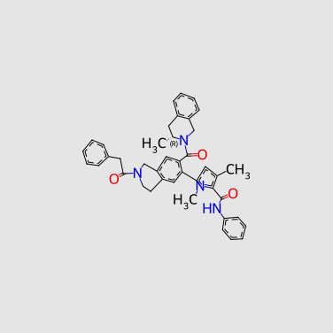 Cc1cc(-c2cc3c(cc2C(=O)N2Cc4ccccc4C[C@H]2C)CN(C(=O)Cc2ccccc2)CC3)n(C)c1C(=O)Nc1ccccc1